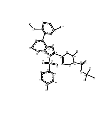 COc1ccc(F)cc1-c1ccnc2c1cc(C1=CCN(C(=O)OC(C)(C)C)C(C)C1)n2S(=O)(=O)c1ccc(C)cc1